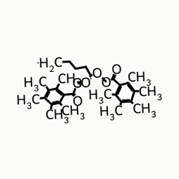 [CH2]CCC[C](OOC(=O)c1c(C)c(C)c(C)c(C)c1C)OOC(=O)c1c(C)c(C)c(C)c(C)c1C